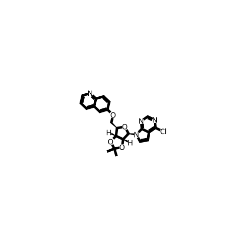 CC1(C)O[C@@H]2[C@H](O1)[C@@H](COc1ccc3ncccc3c1)O[C@H]2n1ccc2c(Cl)ncnc21